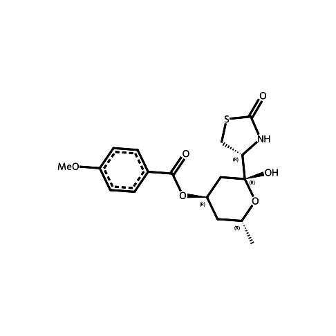 COc1ccc(C(=O)O[C@@H]2C[C@@H](C)O[C@@](O)([C@@H]3CSC(=O)N3)C2)cc1